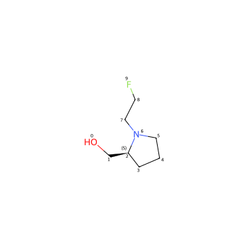 OC[C@@H]1CCCN1CCF